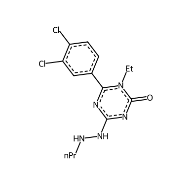 CCCNNc1nc(-c2ccc(Cl)c(Cl)c2)n(CC)c(=O)n1